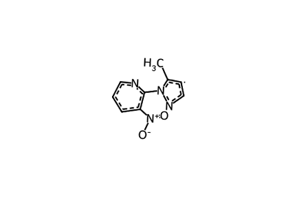 Cc1[c]cnn1-c1ncccc1[N+](=O)[O-]